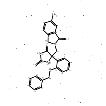 Cc1ccc2c(c1)C(=O)N(CC1(c3ccccc3OCc3ccccc3)NC(=O)NC1=O)C2